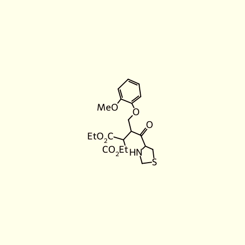 CCOC(=O)C(C(=O)OCC)C(COc1ccccc1OC)C(=O)C1CSCN1